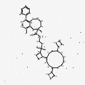 Cc1nnc(-c2ccccn2)c2c1CC(C)(C(=O)NCCC(C)(C)C1CCC1C1CCC(C3CCC3)CCCCCC(C3CCC3)CC1)CCCC2